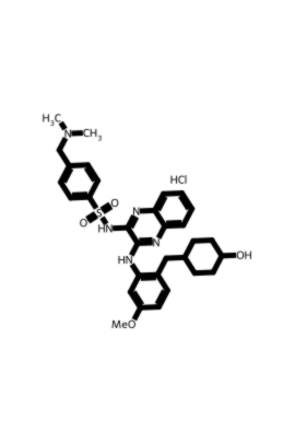 COc1ccc(CC2CCC(O)CC2)c(Nc2nc3ccccc3nc2NS(=O)(=O)c2ccc(CN(C)C)cc2)c1.Cl